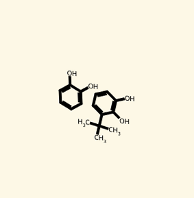 CC(C)(C)c1cccc(O)c1O.Oc1ccccc1O